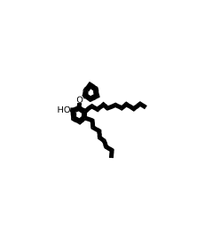 CCCCCCCCCCc1c(CCCCCCCC)ccc(O)c1Oc1ccccc1